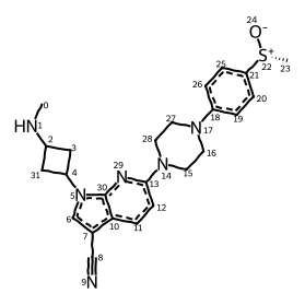 CNC1CC(n2cc(C#N)c3ccc(N4CCN(c5ccc([S@@+](C)[O-])cc5)CC4)nc32)C1